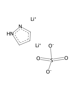 O=S(=O)([O-])[O-].[Li+].[Li+].c1cn[nH]c1